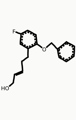 OC/C=C/CCc1cc(F)ccc1OCc1ccccc1